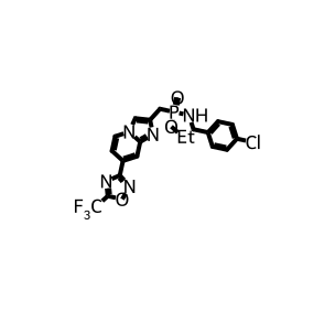 CCOP(=O)(Cc1cn2ccc(-c3noc(C(F)(F)F)n3)cc2n1)NCc1ccc(Cl)cc1